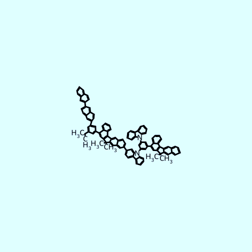 CC(C)c1cc(-c2ccc3cc(-c4ccc5ccccc5c4)ccc3c2)cc(-c2cc3c(c4ccccc24)-c2cc4ccc(-c5ccc6c7ccccc7n(-c7cc(-c8cc9c(c%10ccccc8%10)-c8cc%10ccccc%10cc8C9(C)C)cc(-n8c9ccccc9c9ccccc98)c7)c6c5)cc4cc2C3(C)C)c1